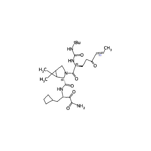 C/C=C/C(=O)CC[C@H](NC(=O)NC(C)(C)C)C(=O)N1CC2C([C@H]1C(=O)NC(CC1CCC1)C(=O)C(N)=O)C2(C)C